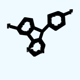 Fc1ccc(C2c3ccc(F)cc3-c3ncncc32)cc1